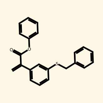 C=C(C(=O)Oc1ccccc1)c1cccc(SCc2ccccc2)c1